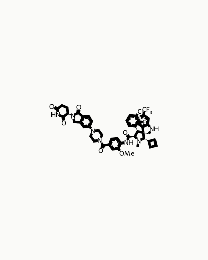 COc1cc(C(=O)N2CCN(c3ccc4c(c3)CN([C@H]3CCC(=O)NC3=O)C4=O)CC2)ccc1NC(=O)[C@H]1[C@H](c2cccc(Cl)c2F)[C@]2(CNc3cc(C(F)(F)F)ncc32)[C@H](C2CCC2)N1C